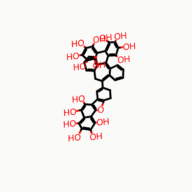 Oc1c(O)c(O)c(-c2c(O)c(O)c(O)c(O)c2C2=c3ccccc3=C(C3=Cc4c(oc5c4c(O)c(O)c4c(O)c(O)c(O)c(O)c45)CC3)Cc3ccccc32)c(O)c1O